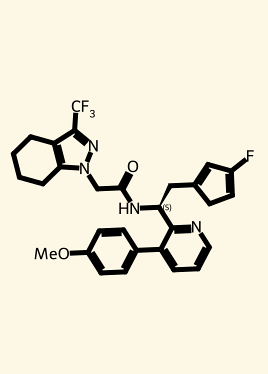 COc1ccc(-c2cccnc2[C@H](CC2=CC(F)=CC2)NC(=O)Cn2nc(C(F)(F)F)c3c2CCCC3)cc1